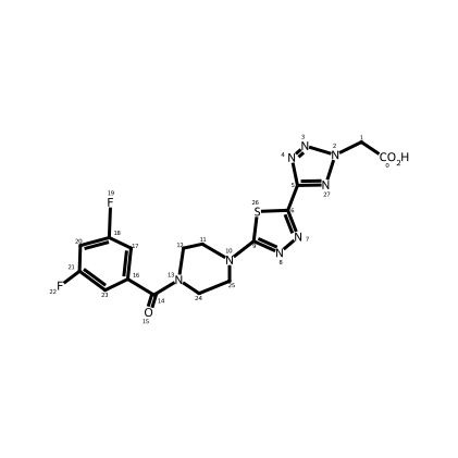 O=C(O)Cn1nnc(-c2nnc(N3CCN(C(=O)c4cc(F)cc(F)c4)CC3)s2)n1